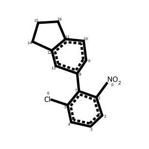 O=[N+]([O-])c1cccc(Cl)c1-c1ccc2c(c1)CCC2